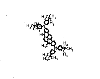 CN1c2cc(N(c3ccc(C(C)(C)C)cc3)c3ccc(C(C)(C)C)cc3)ccc2-c2ccc3c4c(ccc1c24)Nc1cc(N(c2ccc(C(C)(C)C)cc2)C2C=CC(C(C)(C)C)=CC2)ccc1-3